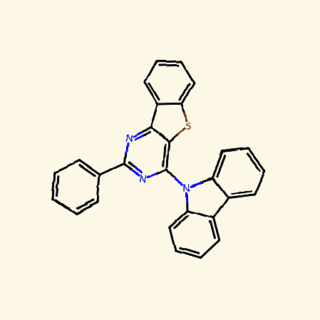 c1ccc(-c2nc(-n3c4ccccc4c4ccccc43)c3sc4ccccc4c3n2)cc1